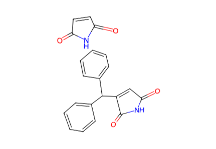 O=C1C=C(C(c2ccccc2)c2ccccc2)C(=O)N1.O=C1C=CC(=O)N1